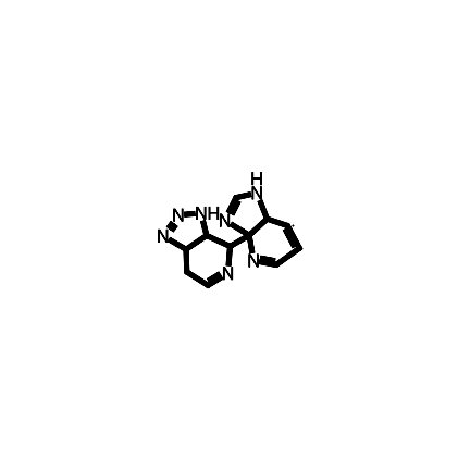 [C]1=CC=NC2(C3N=CCC4N=NNC43)N=CNC12